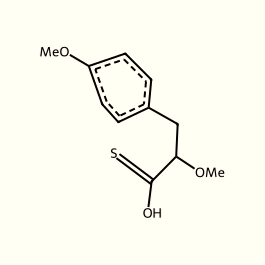 COc1ccc(CC(OC)C(O)=S)cc1